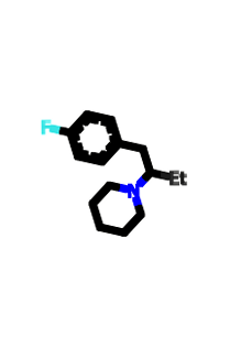 CCC(Cc1ccc(F)cc1)N1CCCCC1